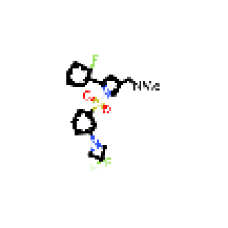 CNCc1cc(-c2ccccc2F)n(S(=O)(=O)c2cccc(N3CC(F)(F)C3)c2)c1